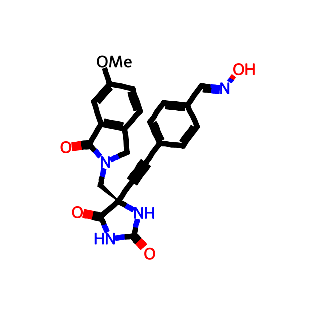 COc1ccc2c(c1)C(=O)N(C[C@@]1(C#Cc3ccc(C=NO)cc3)NC(=O)NC1=O)C2